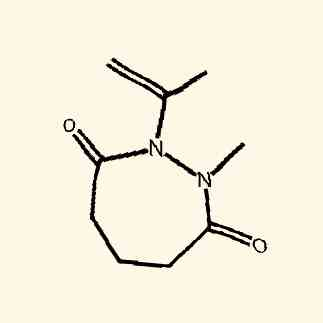 C=C(C)N1C(=O)CCCC(=O)N1C